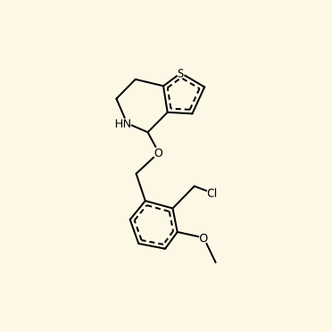 COc1cccc(COC2NCCc3sccc32)c1CCl